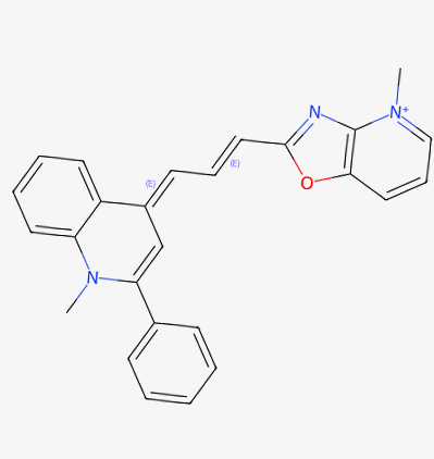 CN1C(c2ccccc2)=C/C(=C\C=C\c2nc3c(ccc[n+]3C)o2)c2ccccc21